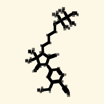 CSc1cc(N2C(=O)C(C)(C)N(CCCCO[Si](C)(C)C(C)(C)C)C2=S)cnc1C#N